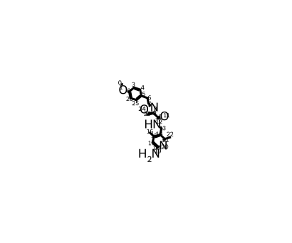 COc1ccc(Cc2nc(C(=O)NCc3c(C)cc(N)nc3C)co2)cc1